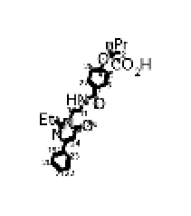 CCCC(C)(Oc1ccc(C(=O)NCCn2c(CC)nc(-c3ccccc3)cc2=O)cc1)C(=O)O